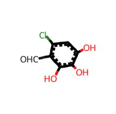 O=Cc1c(Cl)cc(O)c(O)c1O